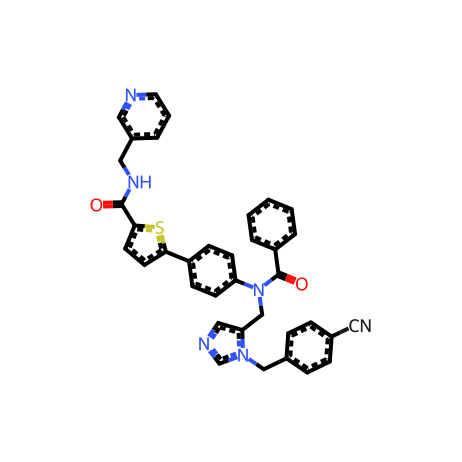 N#Cc1ccc(Cn2cncc2CN(C(=O)c2ccccc2)c2ccc(-c3ccc(C(=O)NCc4cccnc4)s3)cc2)cc1